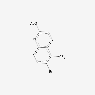 CC(=O)Oc1ccc2c(C(F)(F)F)c(Br)ccc2n1